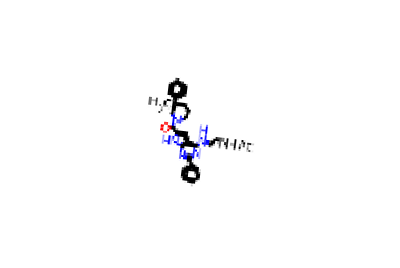 CC(=O)NCCNc1nc(-c2ccccc2)nc2[nH]c(C(=O)N3CCCC(C)(c4ccccc4)C3)cc12